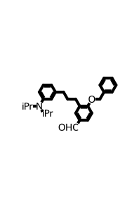 CC(C)N(c1cccc(CCCc2cc(C=O)ccc2OCc2ccccc2)c1)C(C)C